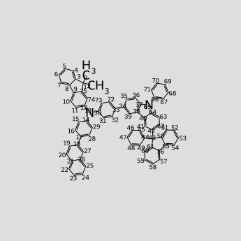 CC1(C)c2ccccc2-c2ccc(N(c3ccc(-c4ccc5ccccc5c4)cc3)c3ccc(-c4ccc5c(c4)c4cc(C6(c7ccccc7)c7ccccc7-c7ccccc76)ccc4n5-c4ccccc4)cc3)cc21